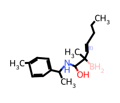 BC(C)(/C=C/CCC)C(O)NC(C)c1ccc(C)cc1